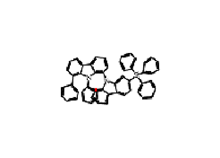 c1ccc(-c2cccc3c4cccc(-n5c6ccccc6c6ccc([Si](c7ccccc7)(c7ccccc7)c7ccccc7)cc65)c4n(-c4ccccc4)c23)cc1